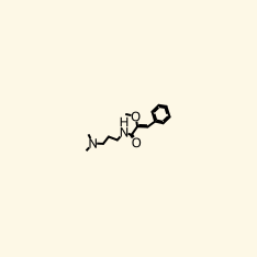 COC(=Cc1ccccc1)C(=O)NCCCN(C)C